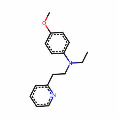 CCN(CCc1ccccn1)c1ccc(OC)cc1